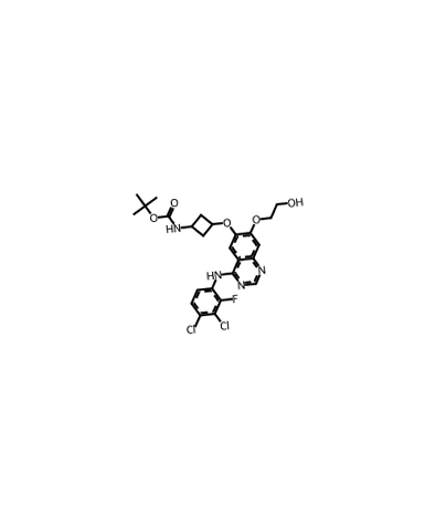 CC(C)(C)OC(=O)NC1CC(Oc2cc3c(Nc4ccc(Cl)c(Cl)c4F)ncnc3cc2OCCO)C1